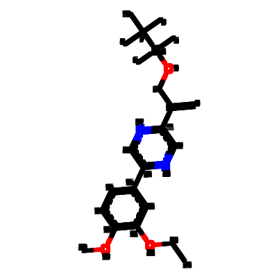 C=C(CO[Si](C)(C)C(C)(C)C)c1cnc(-c2ccc(OC)c(OCC)c2)cn1